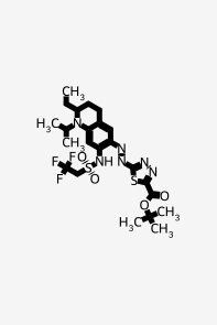 CCC1CCc2cc(N=Nc3nnc(C(=O)OC(C)(C)C)s3)c(NS(=O)(=O)CC(F)(F)F)cc2N1C(C)C